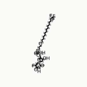 C[C@@H](OP(=O)(O)OCCCOCCCCCCCCCCCCCCC(F)(F)F)C1OC(n2cc(F)c(=O)[nH]c2=O)CC1O